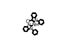 Clc1c(Nc2nc3ccccc3n2-c2ccccc2)n(-c2ccccc2)c2ccccc12